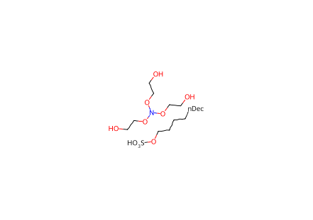 CCCCCCCCCCCCCCOS(=O)(=O)O.OCCON(OCCO)OCCO